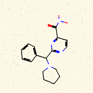 O=C(c1ccnc(C(c2ccccc2)N2CCCCC2)n1)N(O)O